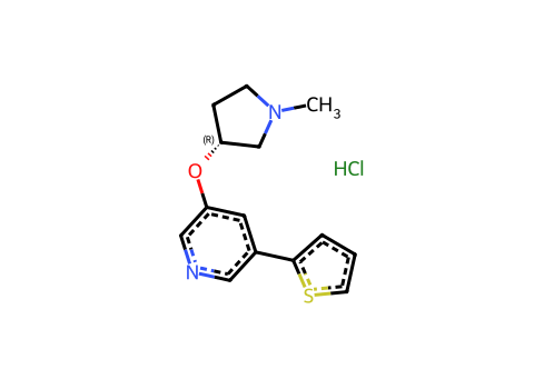 CN1CC[C@@H](Oc2cncc(-c3cccs3)c2)C1.Cl